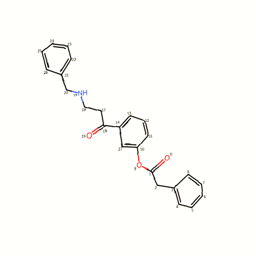 O=C(Cc1ccccc1)Oc1cccc(C(=O)CCNCc2ccccc2)c1